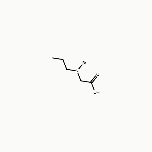 CCCN(Br)CC(=O)O